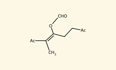 CC(=O)CC/C(OC=O)=C(\C)C(C)=O